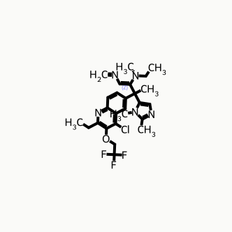 C=N/C=C(\N(C)CC)C(C)(c1ccc2nc(CC)c(OCC(F)(F)F)c(Cl)c2c1)c1cnc(C)n1C